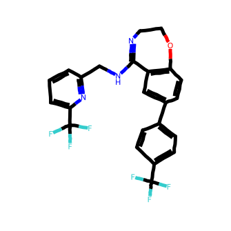 FC(F)(F)c1ccc(-c2ccc3c(c2)C(NCc2cccc(C(F)(F)F)n2)=NCCO3)cc1